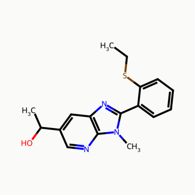 CCSc1ccccc1-c1nc2cc(C(C)O)cnc2n1C